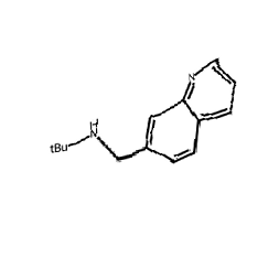 CC(C)(C)NCc1ccc2cccnc2c1